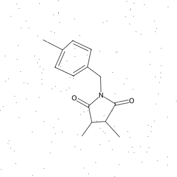 Cc1ccc(CN2C(=O)C(C)C(C)C2=O)cc1